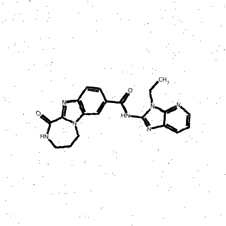 CCn1c(NC(=O)c2ccc3nc4n(c3c2)CCCNC4=O)nc2cccnc21